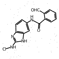 O=Cc1ccccc1C(=O)Nc1ccc2nc(NCl)[nH]c2c1